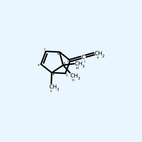 C=C=C1CC2(C)C=CC1C2(C)C